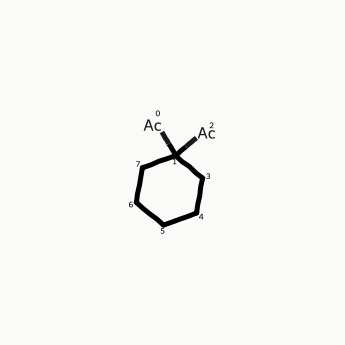 CC(=O)C1(C(C)=O)CCCCC1